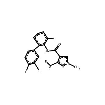 Cn1cc(C(=O)Nc2c(F)cccc2-c2ccc(F)c(F)c2)c(C(F)F)n1